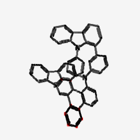 c1ccc(-c2ccccc2-c2c(-c3ccccc3)cccc2N(c2cccc(-c3cccc4c5ccccc5n(-c5ccccc5)c34)c2)c2ccc3c(c2)sc2ccccc23)cc1